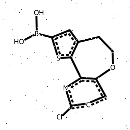 OB(O)c1cc2c(s1)-c1nc(Cl)ccc1OCC2